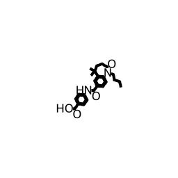 CCCCN1C(=O)CCC(C)(C)c2cc(C(=O)Nc3ccc(C(=O)O)cc3)ccc21